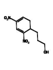 O=[N+]([O-])C1=CCC(CCCO)C([N+](=O)[O-])=C1